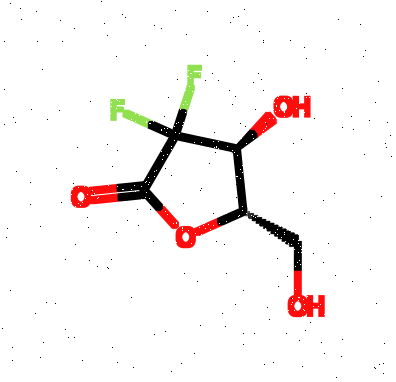 O=C1O[C@@H](CO)[C@H](O)C1(F)F